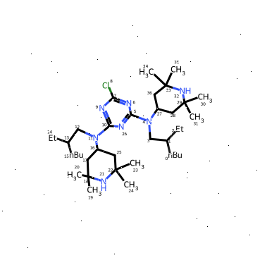 CCCCC(CC)CN(c1nc(Cl)nc(N(CC(CC)CCCC)C2CC(C)(C)NC(C)(C)C2)n1)C1CC(C)(C)NC(C)(C)C1